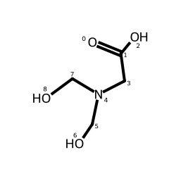 O=C(O)CN(CO)CO